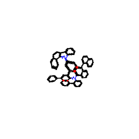 c1ccc(-c2ccc(N(c3ccccc3-c3ccccc3)c3ccc(-c4cccc5ccccc45)c4ccccc34)c(-c3cccc(-n4c5ccccc5c5ccc6ccccc6c54)c3)c2)cc1